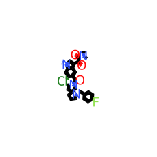 CN(C)C(=O)C(=O)c1cn(C)c2cc(Cl)c(C(=O)N3CCC4(CCCN4Cc4ccc(F)cc4)C3)cc12